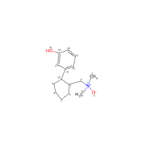 C[N+](C)([O-])CC1CCCCC1c1cccc(O)c1